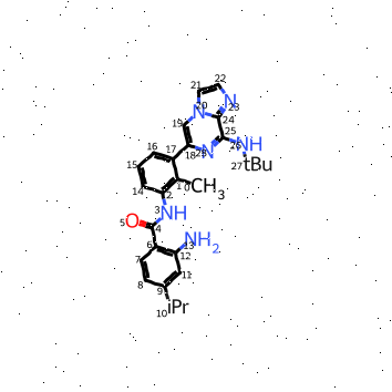 Cc1c(NC(=O)c2ccc(C(C)C)cc2N)cccc1-c1cn2ccnc2c(NC(C)(C)C)n1